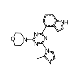 Cc1nccn1-c1nc(-c2cccc3[nH]ccc23)nc(N2CCOCC2)n1